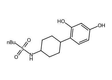 CCCCS(=O)(=O)NC1CCC(c2ccc(O)cc2O)CC1